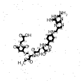 COC(=O)[C@H](CSC1CC(=O)N(CCC(=O)O)C1=O)NC(=O)CC[C@H](NC(=O)c1ccc(NCc2cnc3nc(N)[nH]c(=N)c3n2)cc1)C(=O)O